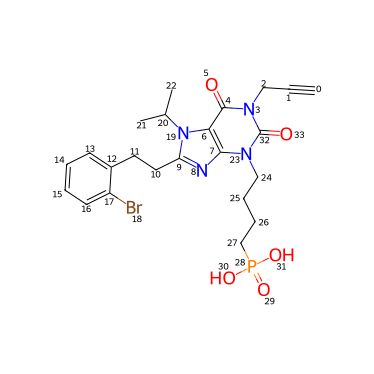 C#CCn1c(=O)c2c(nc(CCc3ccccc3Br)n2C(C)C)n(CCCCP(=O)(O)O)c1=O